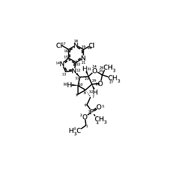 CCOP(C)(=O)CC[C@]12C[C@@H]1[C@@H](n1cnc3c(Cl)nc(Cl)nc31)[C@@H]1OC(C)(C)O[C@@H]12